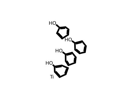 Oc1ccccc1.Oc1ccccc1.Oc1ccccc1.Oc1ccccc1.[Ti]